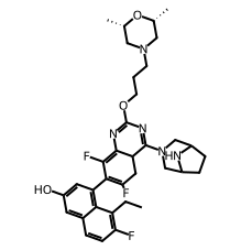 CCc1c(F)ccc2cc(O)cc(C3=C(F)CC4C(N5CC6CCC(C5)N6)=NC(OCCCN5C[C@@H](C)O[C@@H](C)C5)=NC4=C3F)c12